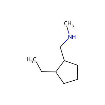 CCC1CCCC1CNC